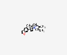 C=CC(=C)/C=C\N(C)C1(CC)C=CC1(C)c1cc2occc2cc1C